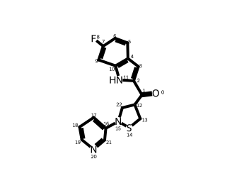 O=C(c1cc2ccc(F)cc2[nH]1)C1CSN(c2cccnc2)C1